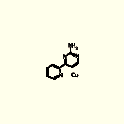 Nc1nccc(-c2ccccn2)n1.[Cu]